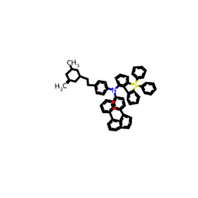 C=C1CC(C)CC(CCc2ccc(N(c3ccc(-c4cccc5cccc(-c6ccccc6)c45)cc3)c3cccc4c3-c3ccccc3S4(c3ccccc3)c3ccccc3)cc2)C1